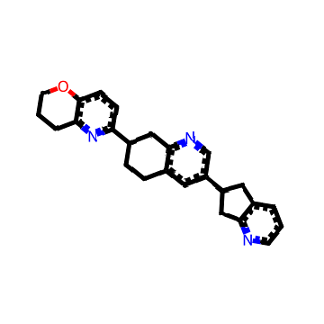 c1cnc2c(c1)CC(c1cnc3c(c1)CCC(c1ccc4c(n1)CCCO4)C3)C2